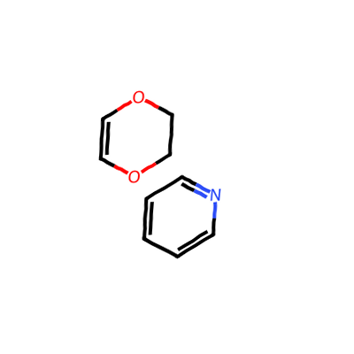 C1=COCCO1.c1ccncc1